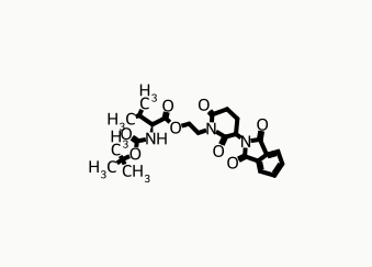 CC(C)[C@H](NC(=O)OC(C)(C)C)C(=O)OCCN1C(=O)CCC(N2C(=O)c3ccccc3C2=O)C1=O